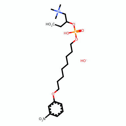 C[N+](C)(C)CC(CC(=O)O)OP(=O)(O)OCCCCCCCCOc1cccc([N+](=O)[O-])c1.[OH-]